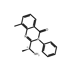 Cc1cccc2c(=O)n(-c3ccccc3)c([C@H](C)N)nc12